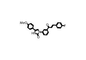 COc1ccc(-c2cn(-c3cccc(C(=O)C=Cc4ccc(F)cc4)c3)c(=O)[nH]2)cc1